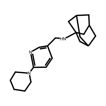 c1cc(N2CCCCC2)ncc1CNC12CC3CC(CC(C3)C1)C2